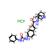 Cl.O=C(Nc1ccccc1)Nc1ccc2cc(C(=O)N[C@H]3CN4CCC3CC4)sc2c1